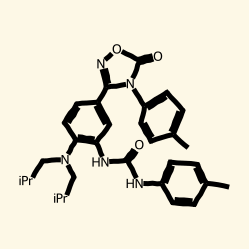 Cc1ccc(NC(=O)Nc2cc(-c3noc(=O)n3-c3ccc(C)cc3)ccc2N(CC(C)C)CC(C)C)cc1